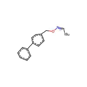 CC(C)(C)/[C]=N\OCc1ccc(-c2ccccc2)cc1